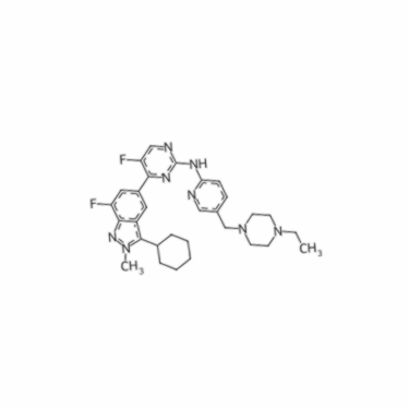 CCN1CCN(Cc2ccc(Nc3ncc(F)c(-c4cc(F)c5nn(C)c(C6CCCCC6)c5c4)n3)nc2)CC1